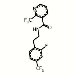 O=C(NCCc1ccc(C(F)(F)F)cc1F)c1cccnc1C(F)(F)F